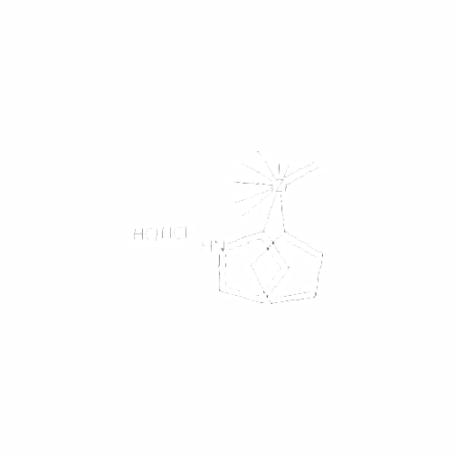 Cl.Cl.[CH2]=[Zr]([CH3])([CH3])([CH3])([CH3])([CH3])([CH3])([CH3])([C]1=CC=CC1)[c]1ccc[nH]1